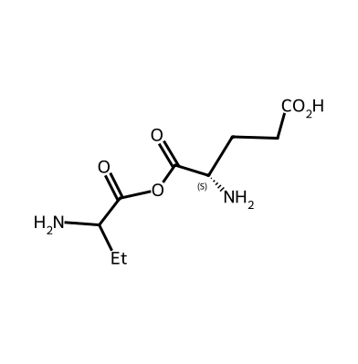 CCC(N)C(=O)OC(=O)[C@@H](N)CCC(=O)O